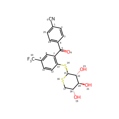 N#Cc1ccc(C(=O)c2cc(C(F)(F)F)ccc2S[C@@H]2SC[C@@H](O)[C@H](O)[C@H]2O)cc1